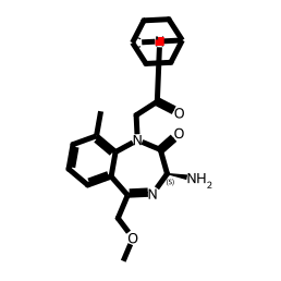 COCC1=N[C@H](N)C(=O)N(CC(=O)N2CC3CCC(CC3)C2)c2c(C)cccc21